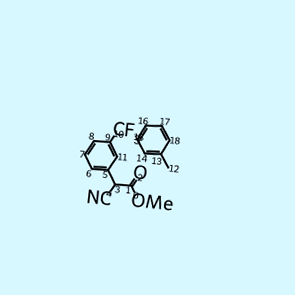 COC(=O)C(C#N)c1cccc(C(F)(F)F)c1.Cc1ccccc1